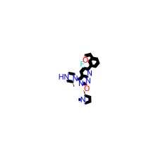 C[C@@H]1CNCCN1c1nc(OC[C@@H]2CCCN2C)nc2nc(-c3cccc4ccoc34)c(F)cc12